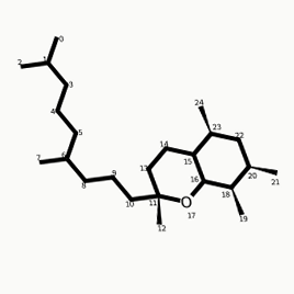 CC(C)CCCC(C)CCC[C@]1(C)CCC2C(O1)[C@H](C)[C@H](C)C[C@@H]2C